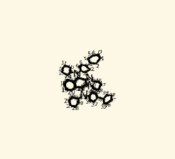 c1ccc(-c2ccc(N(c3ccccc3)c3c4ccccc4c(N(c4ccccc4)c4ccc(-c5ccccc5)cc4)c4c3nc3ccccn34)cc2)cc1